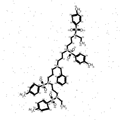 CCN(CCCN(CCCN(CCCN(CCCN(CC)S(=O)(=O)c1ccc(C)cc1)S(=O)(=O)c1ccc(C)cc1)Cc1ccccc1)S(=O)(=O)c1ccc(C)cc1)S(=O)(=O)c1ccc(C)cc1